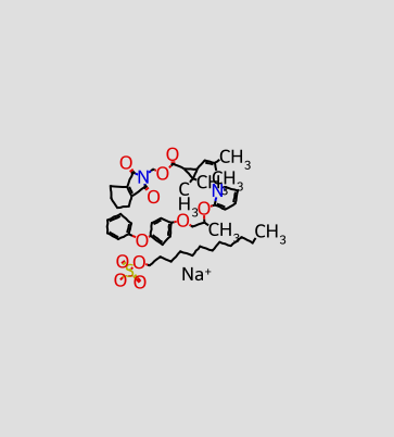 CC(C)=CC1C(C(=O)OCN2C(=O)C3=C(CCCC3)C2=O)C1(C)C.CC(COc1ccc(Oc2ccccc2)cc1)Oc1ccccn1.CCCCCCCCCCCCOS(=O)(=O)[O-].[Na+]